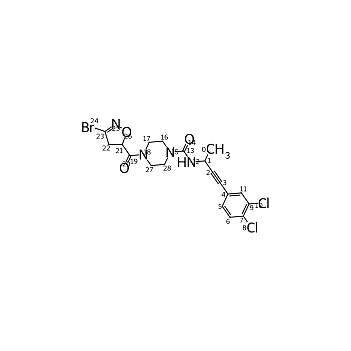 CC(C#Cc1ccc(Cl)c(Cl)c1)NC(=O)N1CCN(C(=O)C2CC(Br)=NO2)CC1